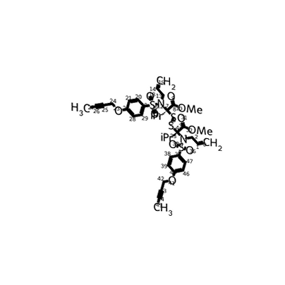 C=CCN([C@](SS[C@@](C(=O)OC)(C(C)C)N(CC=C)S(=O)(=O)c1ccc(OCC#CC)cc1)(C(=O)OC)C(C)C)S(=O)(=O)c1ccc(OCC#CC)cc1